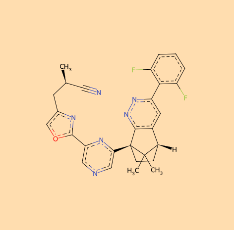 C[C@@H](C#N)Cc1coc(-c2cncc([C@@]34CC[C@@H](c5cc(-c6c(F)cccc6F)nnc53)C4(C)C)n2)n1